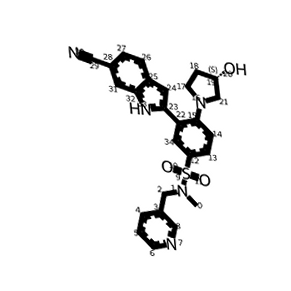 CN(Cc1cccnc1)S(=O)(=O)c1ccc(N2CC[C@H](O)C2)c(-c2cc3ccc(C#N)cc3[nH]2)c1